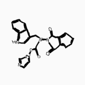 O=C(On1ccnc1)N(Cc1c[nH]c2ccccc12)N1C(=O)c2ccccc2C1=O